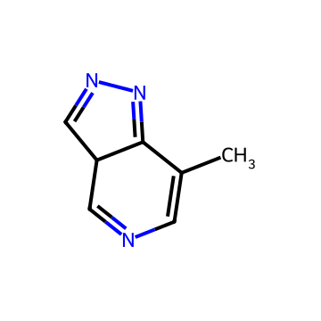 CC1=CN=CC2C=NN=C12